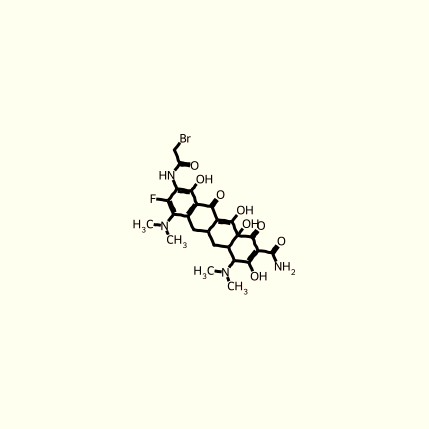 CN(C)c1c(F)c(NC(=O)CBr)c(O)c2c1CC1CC3C(N(C)C)C(O)=C(C(N)=O)C(=O)C3(O)C(O)=C1C2=O